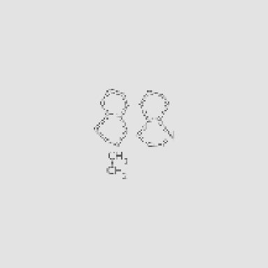 C=C.c1ccc2ccccc2c1.c1ccc2ncccc2c1